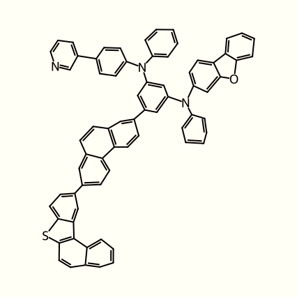 c1ccc(N(c2ccc(-c3cccnc3)cc2)c2cc(-c3ccc4c(ccc5cc(-c6ccc7sc8ccc9ccccc9c8c7c6)ccc54)c3)cc(N(c3ccccc3)c3ccc4c(c3)oc3ccccc34)c2)cc1